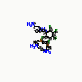 N#C[S][Co+][S]C#N.NCCN.NCCN.O=C([O-])c1c(F)c(F)c(F)c(F)c1F